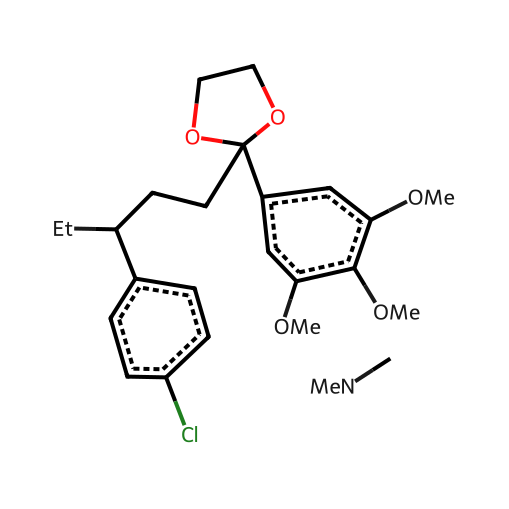 CCC(CCC1(c2cc(OC)c(OC)c(OC)c2)OCCO1)c1ccc(Cl)cc1.CNC